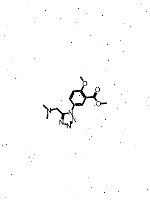 COC(=O)c1cc(-n2nnnc2CN(C)C)ccc1OC